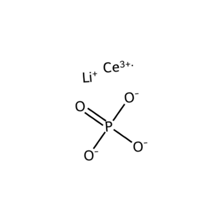 O=P([O-])([O-])[O-].[Ce+3].[Li+]